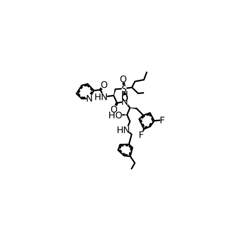 CCCC(CC)S(=O)(=O)C[C@H](NC(=O)c1ccccn1)C(=O)N[C@@H](Cc1cc(F)cc(F)c1)[C@H](O)CNCc1cccc(CC)c1